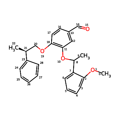 COc1ccccc1C(C)Oc1cc(C=O)ccc1OC[C@H](C)c1ccccc1